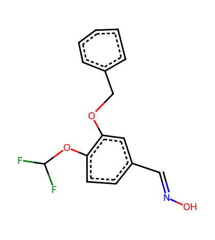 ON=Cc1ccc(OC(F)F)c(OCc2ccccc2)c1